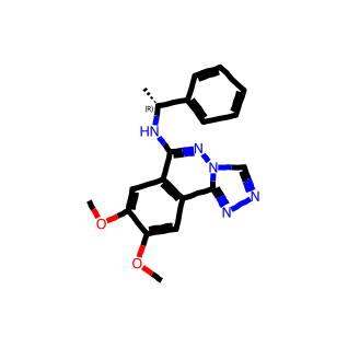 COc1cc2c(N[C@H](C)c3ccccc3)nn3cnnc3c2cc1OC